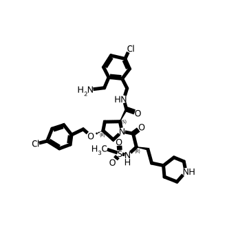 CS(=O)(=O)N[C@H](CCC1CCNCC1)C(=O)N1C[C@H](OCc2ccc(Cl)cc2)C[C@H]1C(=O)NCc1cc(Cl)ccc1CN